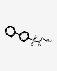 CC(C)(C)ONS(=O)(=O)c1ccc(-c2ccccc2)cc1